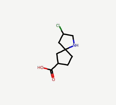 O=C(O)C1CCC2(CC(Cl)CN2)C1